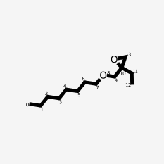 CCCCCCCCOCC1(CC)CO1